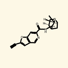 C#Cc1cc2cnc(C(=O)N[C@@H]3C4CCN(CC4)[C@H]3C)cc2o1